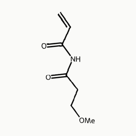 C=CC(=O)NC(=O)CCOC